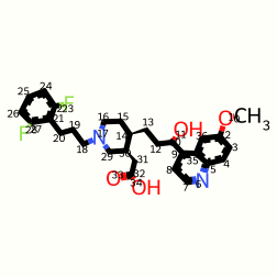 COc1ccc2nccc(C(O)CC[C@@H]3CCN(CCCc4c(F)cccc4F)C[C@@H]3CC(=O)O)c2c1